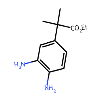 CCOC(=O)C(C)(C)c1ccc(N)c(N)c1